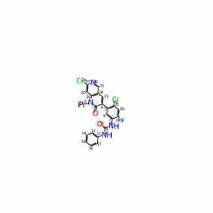 CC(C)n1c(=O)c(-c2cc(NC(=O)Nc3ccccc3)c(F)cc2Cl)cc2cnc(Cl)cc21